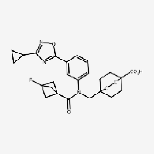 O=C(O)C12CCC(CN(C(=O)C34CC(F)(C3)C4)c3cccc(-c4nc(C5CC5)no4)c3)(CC1)CC2